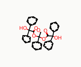 O=CC(OC(=O)C(O)(c1ccccc1)c1ccccc1)(OC(=O)C(O)(c1ccccc1)c1ccccc1)c1ccccc1